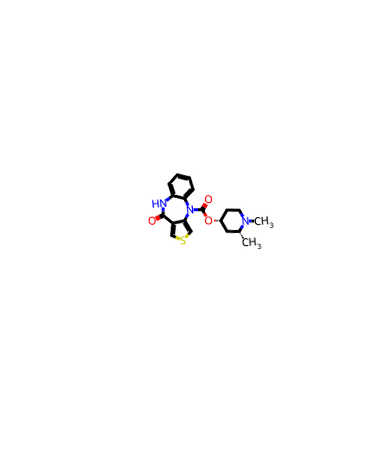 C[C@@H]1C[C@H](OC(=O)N2c3ccccc3NC(=O)c3cscc32)CCN1C